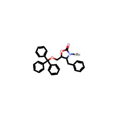 CCCCN1C(=O)OC(COC(c2ccccc2)(c2ccccc2)c2ccccc2)C1Cc1ccccc1